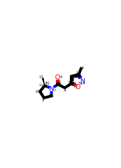 Cc1cc(CC(=O)N2CCC[C@H]2C)on1